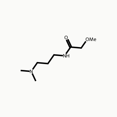 COCC(=O)NCCCN(C)C